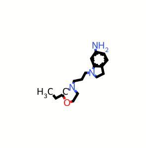 CCC1CN(CCCN2CCc3ccc(N)cc32)CCO1